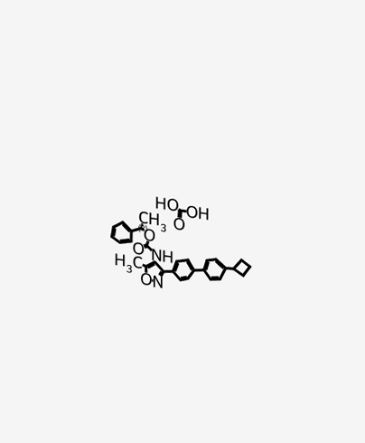 Cc1onc(-c2ccc(-c3ccc(C4CCC4)cc3)cc2)c1NC(=O)O[C@H](C)c1ccccc1.O=C(O)O